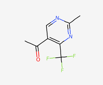 CC(=O)c1cnc(C)nc1C(F)(F)F